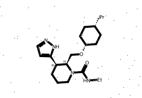 CCNC(=O)N1CCC[C@@H](c2ccn[nH]2)[C@H]1CO[C@H]1CC[C@@H](C(C)C)CC1